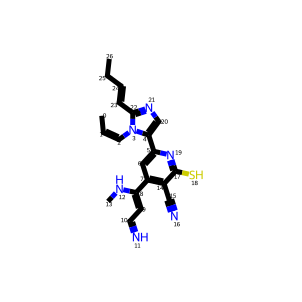 C/C=C\n1c(-c2cc(/C(=C/C=N)NC)c(C#N)c(S)n2)cnc1/C=C/CC